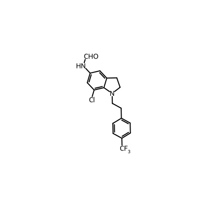 O=CNc1cc(Cl)c2c(c1)CCN2CCc1ccc(C(F)(F)F)cc1